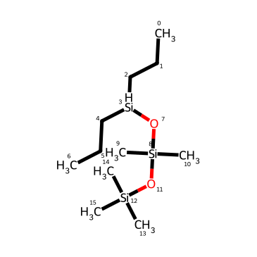 CCC[SiH](CCC)O[Si](C)(C)O[Si](C)(C)C